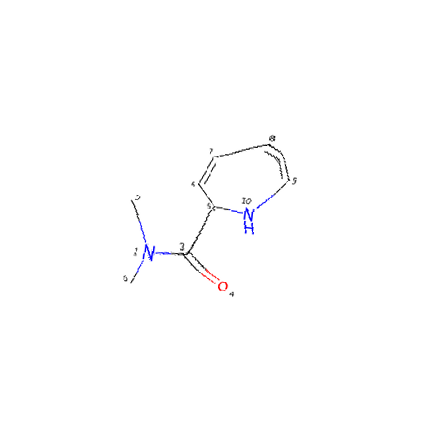 CN(C)C(=O)[C]1C=CC=CN1